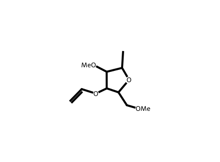 C=COC1C(COC)OC(C)C1OC